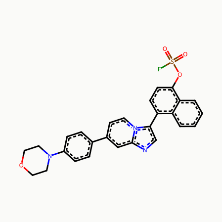 O=S(=O)(F)Oc1ccc(-c2cnc3cc(-c4ccc(N5CCOCC5)cc4)ccn23)c2ccccc12